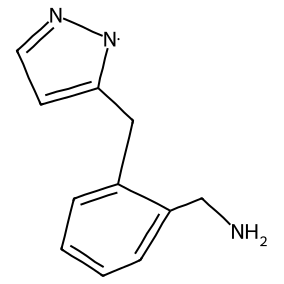 NCc1ccccc1CC1=CC=N[N]1